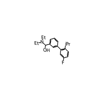 CCN(CC)C(O)c1cccc(-c2cc(F)ccc2C(C)C)c1